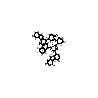 c1ccc(-c2nc(-c3cccc4c3oc3ccccc34)nc(-c3cccc4sc5ccc(-c6nc(-c7ccccc7)nc7c6oc6ccccc67)cc5c34)n2)cc1